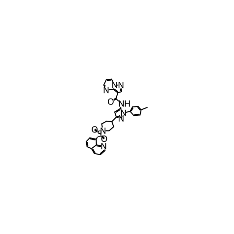 Cc1ccc(-n2nc(C3CCN(S(=O)(=O)c4cccc5cccnc45)CC3)cc2NC(=O)c2cnn3cccnc23)cc1